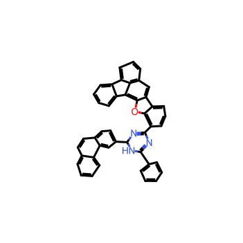 c1ccc(C2=NC(c3cccc4c3oc3c5c6c(cccc6cc34)-c3ccccc3-5)=NC(c3ccc4ccc5ccccc5c4c3)N2)cc1